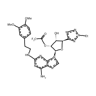 CCn1nnc([C@H]2O[C@@H](n3cnc4c(N)nc(NCCc5ccc(OC)c(OC)c5)nc43)[C@H](OC(=O)C(F)(F)F)[C@@H]2O)n1